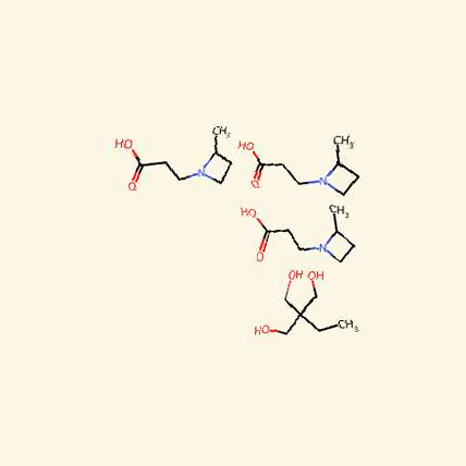 CC1CCN1CCC(=O)O.CC1CCN1CCC(=O)O.CC1CCN1CCC(=O)O.CCC(CO)(CO)CO